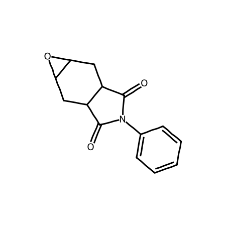 O=C1C2CC3OC3CC2C(=O)N1c1ccccc1